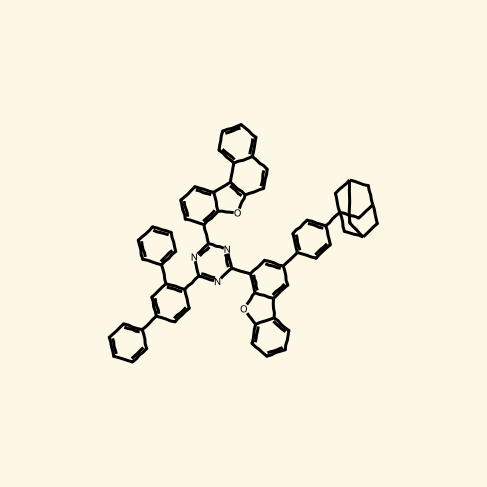 c1ccc(-c2ccc(-c3nc(-c4cc(-c5ccc(C67CC8CC(CC(C8)C6)C7)cc5)cc5c4oc4ccccc45)nc(-c4cccc5c4oc4ccc6ccccc6c45)n3)c(-c3ccccc3)c2)cc1